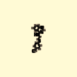 Clc1ccc(SCCNc2ncnc3ccccc23)cc1